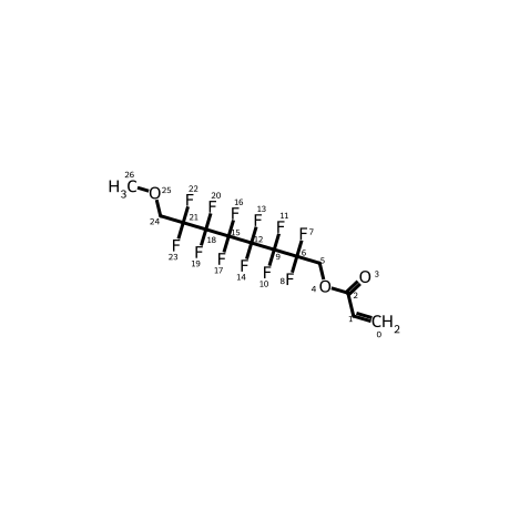 C=CC(=O)OCC(F)(F)C(F)(F)C(F)(F)C(F)(F)C(F)(F)C(F)(F)COC